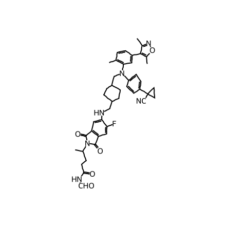 Cc1ccc(-c2c(C)noc2C)cc1N(CC1CCC(CNc2cc3c(cc2F)C(=O)N(C(C)CCC(=O)NC=O)C3=O)CC1)c1ccc(C2(C#N)CC2)cc1